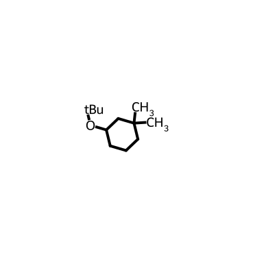 CC1(C)CCCC(OC(C)(C)C)C1